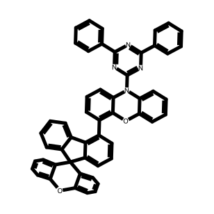 c1ccc(-c2nc(-c3ccccc3)nc(N3c4ccccc4Oc4c(-c5cccc6c5-c5ccccc5C65c6ccccc6Oc6ccccc65)cccc43)n2)cc1